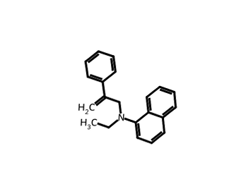 C=C(CN(CC)c1cccc2ccccc12)c1ccccc1